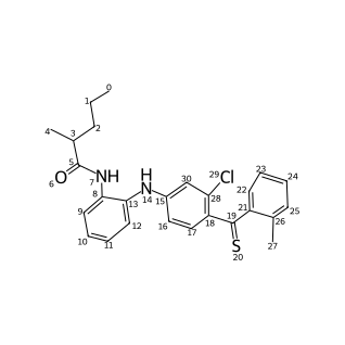 CCCC(C)C(=O)Nc1ccccc1Nc1ccc(C(=S)c2ccccc2C)c(Cl)c1